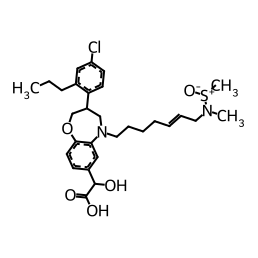 CCCc1cc(Cl)ccc1C1COc2ccc(C(O)C(=O)O)cc2N(CCCC/C=C/CN(C)[S+](C)[O-])C1